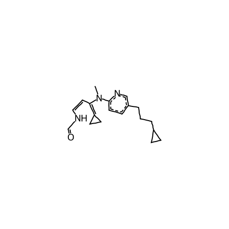 CN(C(/C=C\NC=O)=C1CC1)c1ccc(CCCC2CC2)cn1